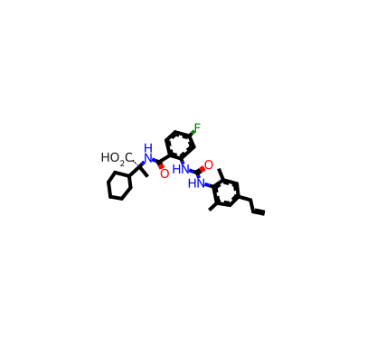 C=CCc1cc(C)c(NC(=O)Nc2cc(F)ccc2C(=O)N[C@](C)(C(=O)O)C2CCCCC2)c(C)c1